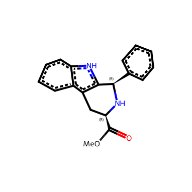 COC(=O)[C@H]1Cc2c([nH]c3ccccc23)[C@@H](c2ccccc2)N1